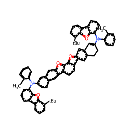 CC1=C=C=CC=C1N(c1ccc2cc3c(cc2c1)oc1c3ccc2c3cc4c(cc3oc21)C=C(N(c1ccccc1C)c1cccc2c1oc1c(C(C)(C)C)cccc12)CC4)c1cccc2c1oc1c(C(C)(C)C)cccc12